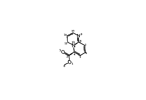 COC(=O)C1=CC=CC2=NC=CCN12